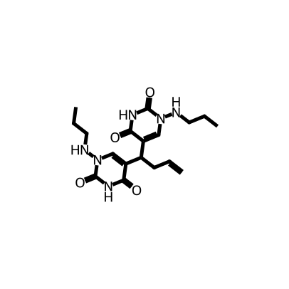 C=CCC(c1cn(NCCC)c(=O)[nH]c1=O)c1cn(NCCC)c(=O)[nH]c1=O